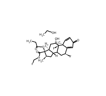 CCC(=O)O[C@]1(C(=O)SCF)[C@H](C)C[C@H]2C3C[C@H](F)C4=CC(=O)C=C[C@]4(C)[C@@]3(F)[C@@H](O)C[C@@]21C.CCO